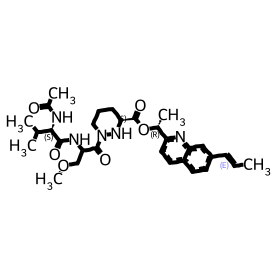 C/C=C/c1ccc2ccc([C@@H](C)OC(=O)[C@@H]3CCCN(C(=O)C(COC)NC(=O)[C@@H](NC(C)=O)C(C)C)N3)nc2c1